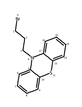 BrCCCN1c2ccccc2Sc2ccccc21